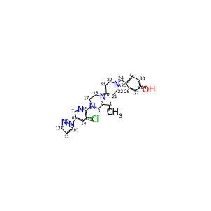 CCC1CN(c2ncc(-n3cccn3)cc2Cl)CCN1C1CCN(Cc2ccc(O)cc2)CC1